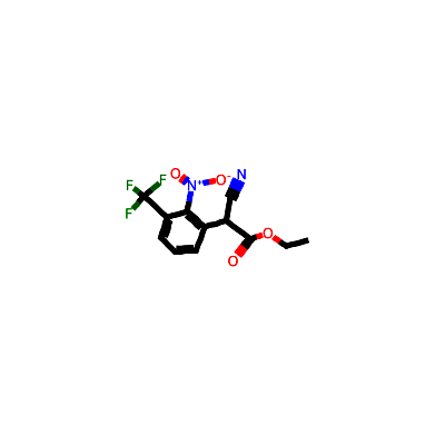 CCOC(=O)C(C#N)c1cccc(C(F)(F)F)c1[N+](=O)[O-]